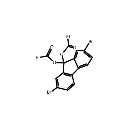 CCC(=O)OC1(OC(=O)CC)c2cc(Br)ccc2-c2ccc(Br)cc21